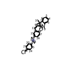 CN1c2ccccc2C(C)(C)C12C=Cc1cc(/N=N/c3ccc(Cl)cc3)ccc1O2